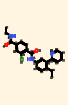 CCNC(=O)c1ccc(C(=O)Nc2ccc(CC)c(-c3ccccn3)c2)c(Cl)c1